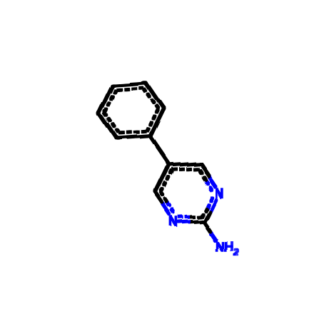 Nc1ncc(-c2ccccc2)cn1